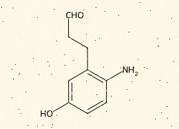 Nc1ccc(O)cc1CCC=O